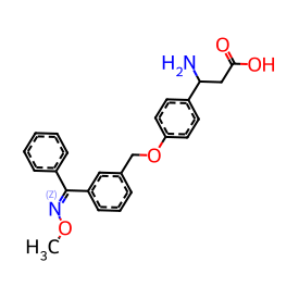 CO/N=C(/c1ccccc1)c1cccc(COc2ccc(C(N)CC(=O)O)cc2)c1